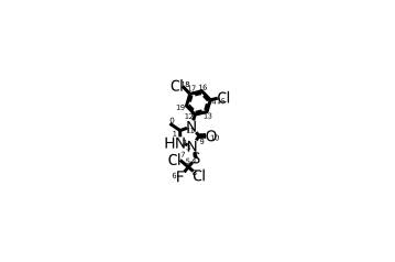 CC1NN(SC(F)(Cl)Cl)C(=O)N1c1cc(Cl)cc(Cl)c1